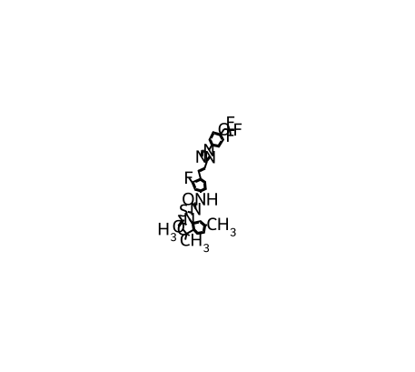 Cc1ccc(C(C)C)c(N2C(=O)CS/C2=N\C(=O)Nc2ccc(/C=C/c3ncn(-c4ccc(OC(F)(F)F)cc4)n3)c(F)c2)c1